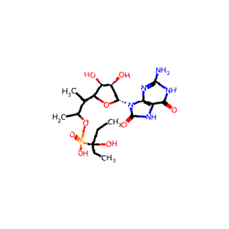 CCC(O)(CC)P(=O)(O)OC(C)C(C)C1O[C@@H](n2c(=O)[nH]c3c(=O)[nH]c(N)nc32)[C@H](O)[C@@H]1O